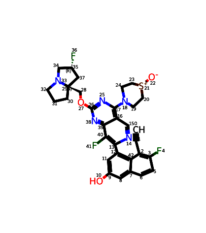 C#Cc1c(F)ccc2cc(O)cc(-c3ncc4c(N5CC[S+]([O-])CC5)nc(OC[C@@]56CCCN5C[C@H](F)C6)nc4c3F)c12